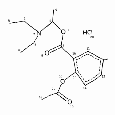 CCN(CC)C(C)OC(=O)c1ccccc1OC(C)=O.Cl